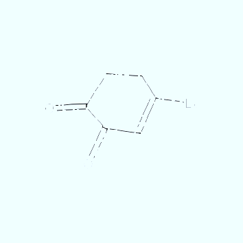 CCC1=CC(=O)C(=O)CC1